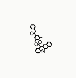 Cc1cc(C(=O)Cc2ccccc2)cc(C)c1OC(=O)c1c2ccccc2nc2cc3ccccc3cc12